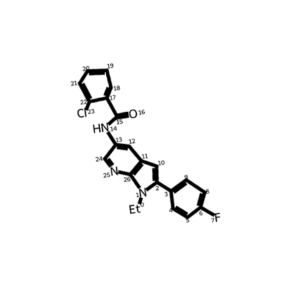 CCn1c(-c2ccc(F)cc2)cc2cc(NC(=O)c3ccccc3Cl)cnc21